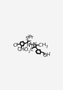 Cc1nn(-c2nc(-c3ccc(Cl)c(Cl)c3)c(SC(C)C)s2)c(C(=O)O)c1-c1cccc(CO)c1